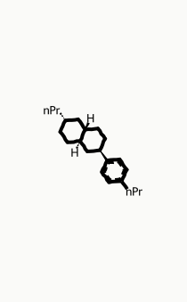 CCCc1ccc([C@@H]2CC[C@H]3C[C@@H](CCC)CC[C@@H]3C2)cc1